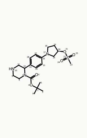 CC(C)(C)OC(=O)N1CCNCC1c1ccc(N2CC[C@@H](OS(C)(=O)=O)C2)cc1